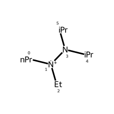 CCC[N+](CC)N(C(C)C)C(C)C